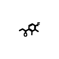 CCC(=O)c1ccc(F)c(C)c1C